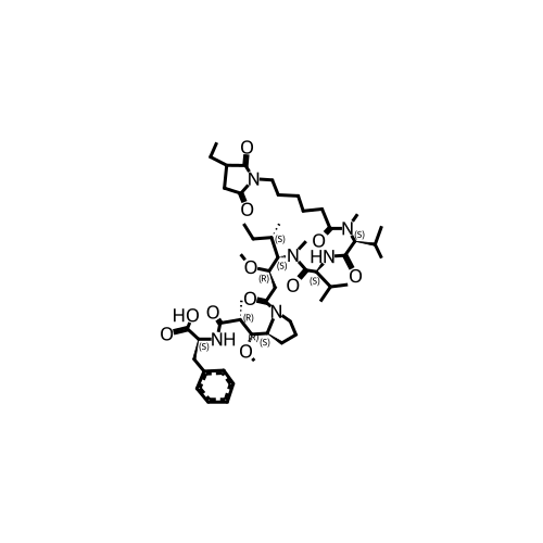 CCC1CC(=O)N(CCCCCC(=O)N(C)[C@H](C(=O)N[C@H](C(=O)N(C)[C@@H]([C@@H](C)CC)[C@@H](CC(=O)N2CCC[C@H]2[C@H](OC)[C@@H](C)C(=O)N[C@@H](Cc2ccccc2)C(=O)O)OC)C(C)C)C(C)C)C1=O